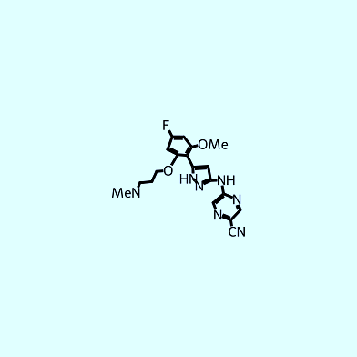 CNCCCOc1cc(F)cc(OC)c1-c1cc(Nc2cnc(C#N)cn2)n[nH]1